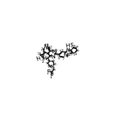 NC(c1nc(-c2ccnc(Nc3c(F)cccc3F)c2)nc2cncc(C3CC3)c12)C1CCN(CC(F)F)CC1